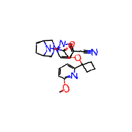 COc1cccc(C2(OCC(=O)N3CC4CCC(C3)N4c3ccc(C#N)cn3)CCC2)n1